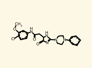 COc1cc(NC(=O)CC2NC(N3CCN(c4ccccc4)CC3)=NC2=O)ccc1Cl